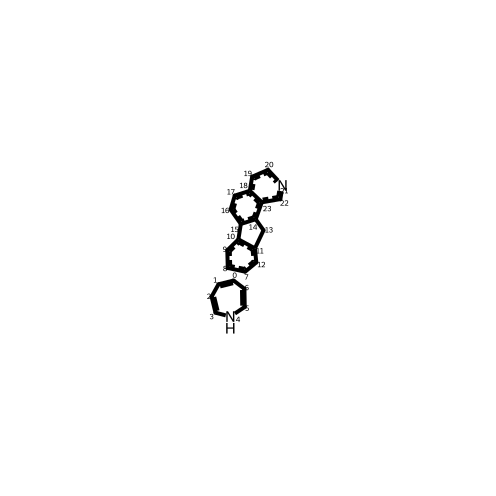 C1=CC=CNC=C1.c1ccc2c(c1)Cc1c-2ccc2ccncc12